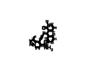 Cc1cnn2ccc(C(N)=O)c(C#CCC(c3cc(F)ccc3F)c3cccn(C)c3=O)c12